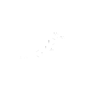 COc1cc2cc(-c3ccc(CCOC(C)=O)cc3)cnc2cc1OC